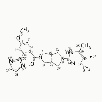 COc1ccc(C(=O)N2CC3CN(C4N=C(C)C(F)=C(C)N4)CC3C2)c(-n2nccn2)c1